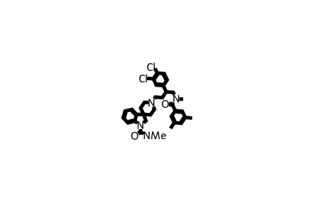 CNC(=O)N1CC2(CCN(CCC(CN(C)C(=O)c3cc(C)cc(C)c3)c3ccc(Cl)c(Cl)c3)CC2)c2ccccc21